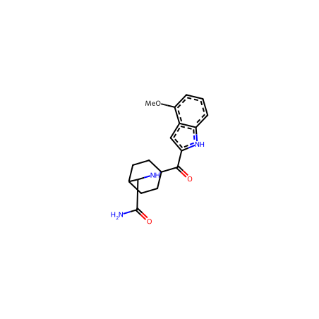 COc1cccc2[nH]c(C(=O)C34CCC(CC3)C(C(N)=O)N4)cc12